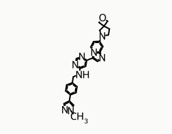 Cn1cc(-c2ccc(CNc3cc(-c4cnc5cc(N6CCC7(COC7)C6)ccn45)ncn3)cc2)cn1